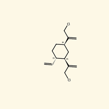 C=C[C@@H]1CC[C@@H](C(=C)CCl)C[C@H]1C(=C)CCl